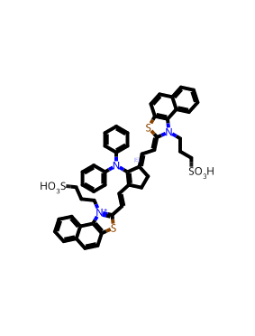 O=S(=O)(O)CCCN1C(=C/C=C2\CCC(C=Cc3sc4ccc5ccccc5c4[n+]3CCCS(=O)(=O)O)=C2N(c2ccccc2)c2ccccc2)Sc2ccc3ccccc3c21